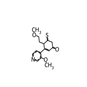 COCCC1C(=S)CC(=O)C=C1c1ccncc1OC